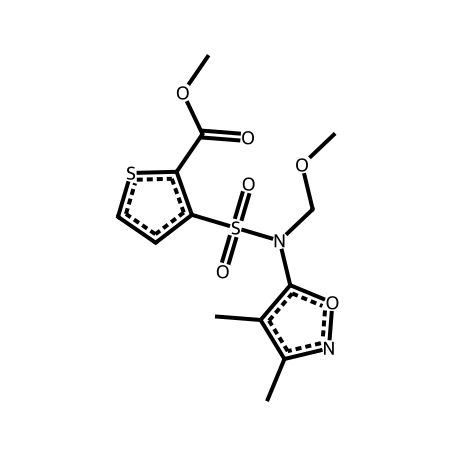 COCN(c1onc(C)c1C)S(=O)(=O)c1ccsc1C(=O)OC